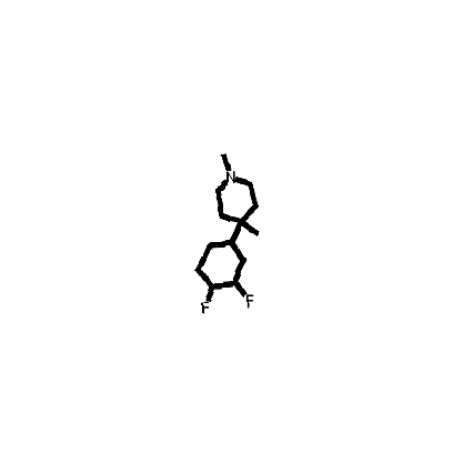 CN1CCC(C)(C2CCC(F)C(F)C2)CC1